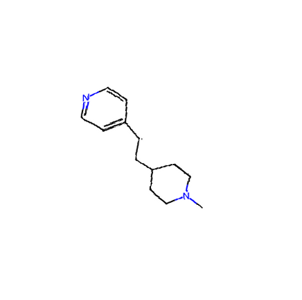 CN1CCC(C[CH]c2ccncc2)CC1